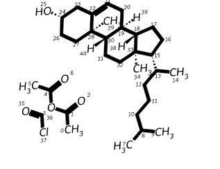 CC(=O)OC(C)=O.CC(C)CCCC(C)[C@H]1CC[C@H]2[C@@H]3CC=C4C[C@@H](O)CC[C@]4(C)[C@H]3CC[C@]12C.O=CCl